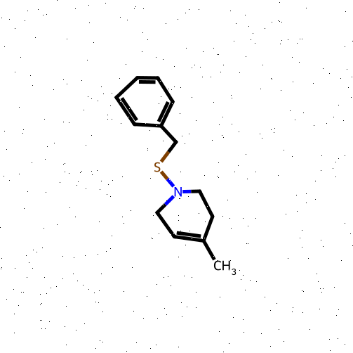 CC1=CCN(SCc2ccccc2)CC1